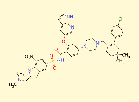 CN(C)C[C@@H]1Cc2cc(S(=O)(=O)NC(=O)c3ccc(N4CCN(CC5=C(c6ccc(Cl)cc6)CC(C)(C)CC5)CC4)cc3Oc3cnc4[nH]ccc4c3)cc([N+](=O)[O-])c2N1